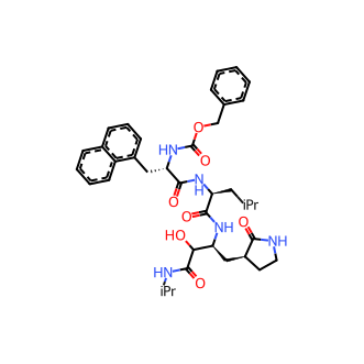 CC(C)C[C@H](NC(=O)[C@H](Cc1cccc2ccccc12)NC(=O)OCc1ccccc1)C(=O)N[C@@H](C[C@@H]1CCNC1=O)C(O)C(=O)NC(C)C